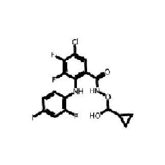 O=C(NOC(O)C1CC1)c1cc(Cl)c(F)c(F)c1Nc1ccc(I)cc1F